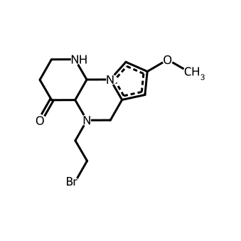 COc1cc2n(c1)C1NCCC(=O)C1N(CCBr)C2